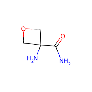 NC(=O)C1(N)COC1